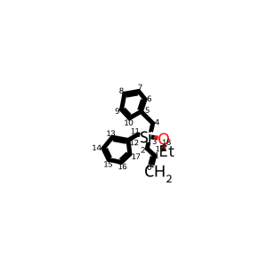 C=CC[Si](Cc1ccccc1)(Cc1ccccc1)OCC